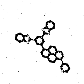 c1cncc(-c2ccc3ccc4c(-c5cc(-c6nc7ccccc7o6)cc(-c6nc7ccccc7o6)c5)ccc5ccc2c3c54)c1